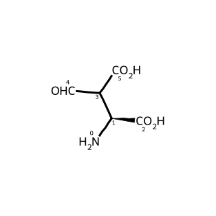 N[C@H](C(=O)O)C(C=O)C(=O)O